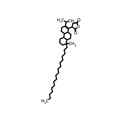 CCCCCCCCCCCCCCCCCCC1(C)CCCC2C3CCC(C(C)C)=C(C4CC(=O)OC4=O)C3CCC21